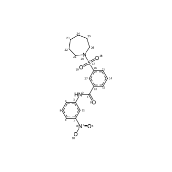 O=C(Nc1cccc([N+](=O)[O-])c1)c1cccc(S(=O)(=O)N2CCCCCC2)c1